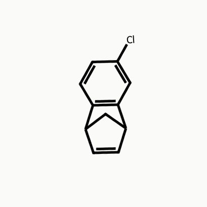 Clc1ccc2c(c1)C1C=CC2C1